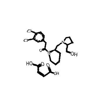 O=C(Cc1ccc(Cl)c(Cl)c1)N1CCCCC1CN1CCCC1CO.O=C(O)/C=C\C(=O)O